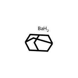 C1C2CC3CC1CC(C2)C3.[BaH2]